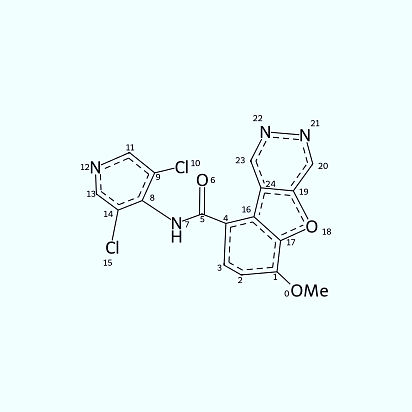 COc1ccc(C(=O)Nc2c(Cl)cncc2Cl)c2c1oc1cnncc12